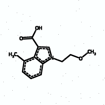 COCCn1cc(C(=O)O)c2c(C)cccc21